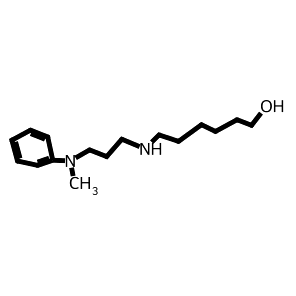 CN(CCCNCCCCCCO)c1ccccc1